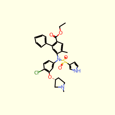 CCOC(=O)c1cc(C)c(N(c2ccc(Cl)c(O[C@@H]3CCN(C)C3)c2)S(=O)(=O)c2cc[nH]c2)cc1-c1ccccc1